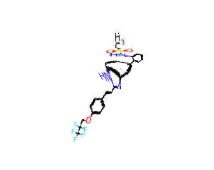 CS(=O)(=O)Nc1ccccc1-c1ccc2[nH]c(C=Cc3ccc(OCC(F)(F)C(F)(F)F)cc3)nc2c1